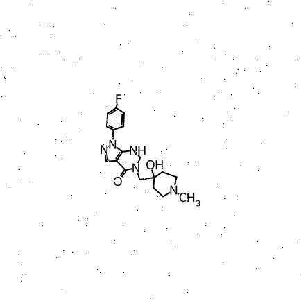 CN1CCC(O)(CN2CNc3c(cnn3-c3ccc(F)cc3)C2=O)CC1